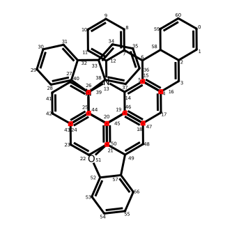 C1=CC2=CC=CC(c3ccccc3N(c3ccccc3-c3ccccc3-n3c4ccccc4c4ccccc43)c3ccccc3-c3cccc4c3oc3ccccc34)C2C=C1